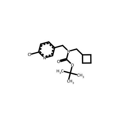 CC(C)(C)OC(=O)N(Cc1ccc(Cl)nc1)CC1CCC1